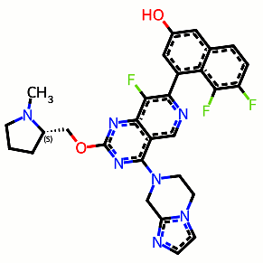 CN1CCC[C@H]1COc1nc(N2CCn3ccnc3C2)c2cnc(-c3cc(O)cc4ccc(F)c(F)c34)c(F)c2n1